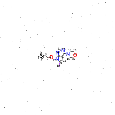 C[Si](C)(C)CCOCn1c(I)cc2c(N3CCOCC3)ncnc21